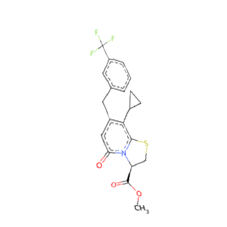 COC(=O)[C@@H]1CSc2c(C3CC3)c(Cc3cccc(C(F)(F)F)c3)cc(=O)n21